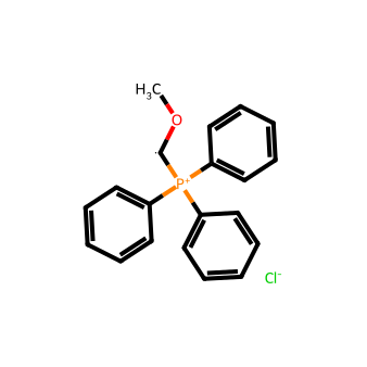 CO[CH][P+](c1ccccc1)(c1ccccc1)c1ccccc1.[Cl-]